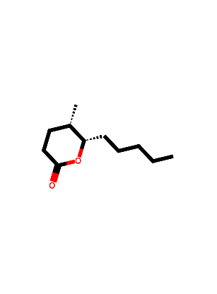 CCCCC[C@@H]1OC(=O)CC[C@@H]1C